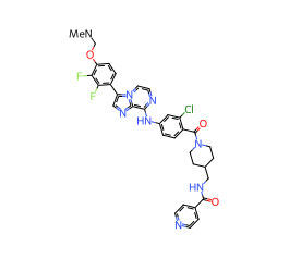 CNCOc1ccc(-c2cnc3c(Nc4ccc(C(=O)N5CCC(CNC(=O)c6ccncc6)CC5)c(Cl)c4)nccn23)c(F)c1F